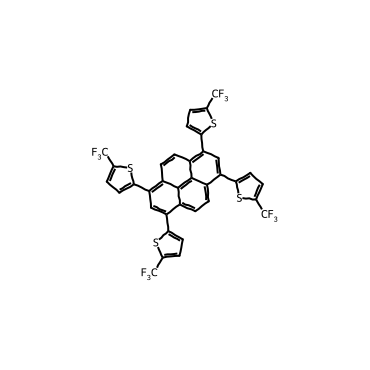 FC(F)(F)c1ccc(-c2cc(-c3ccc(C(F)(F)F)s3)c3ccc4c(-c5ccc(C(F)(F)F)s5)cc(-c5ccc(C(F)(F)F)s5)c5ccc2c3c54)s1